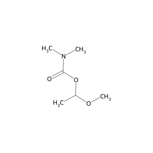 COC(C)OC(=O)N(C)C